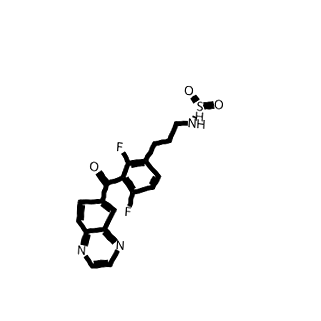 O=C(c1ccc2nccnc2c1)c1c(F)ccc(CCCN[SH](=O)=O)c1F